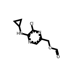 O=COCc1cnc(NC2CC2)c(Cl)n1